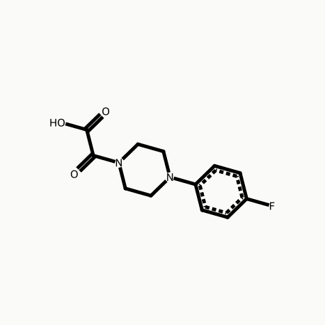 O=C(O)C(=O)N1CCN(c2ccc(F)cc2)CC1